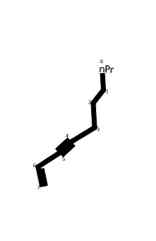 [CH2]CCCCCC#CC=C